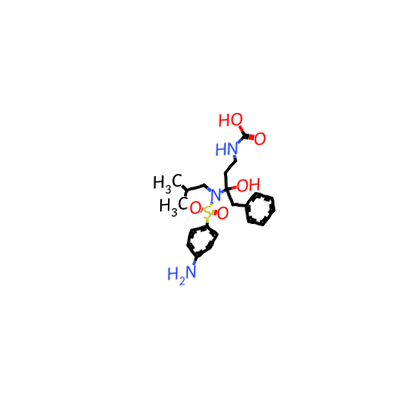 CC(C)CN(C(O)(CCNC(=O)O)Cc1ccccc1)S(=O)(=O)c1ccc(N)cc1